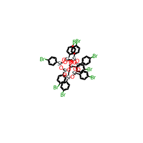 Brc1ccc([Si]23O[Si]4(c5ccc(Br)cc5)O[Si]5(c6ccc(Br)cc6)O[Si](c6ccc(Br)cc6)(O2)O[Si]2(c6ccc(Br)cc6)O[Si](c6ccc(Br)cc6)(O3)O[Si](c3ccc(Br)cc3)(O4)O[Si](c3ccc(Br)cc3)(O5)O2)cc1